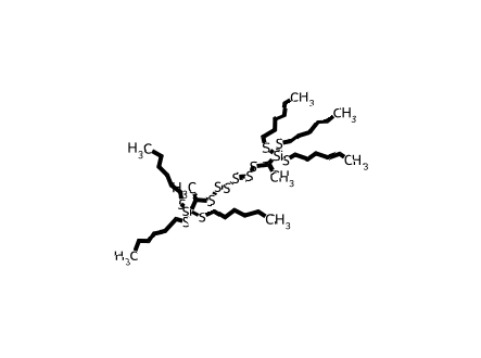 CCCCCCS[Si](SCCCCCC)(SCCCCCC)C(C)SSSSSSC(C)[Si](SCCCCCC)(SCCCCCC)SCCCCCC